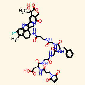 CC[C@@]1(O)C(=O)OCc2c1cc1n(c2=O)Cc2c-1nc1cc(F)c(C)c3c1c2[C@@H](NC(=O)CCNC(=O)CNC(=O)[C@H](Cc1ccccc1)NC(=O)CNC(=O)CNC(=O)[C@H](CC(=O)O)NC(=O)CCN1C(=O)C=CC1=O)CC3